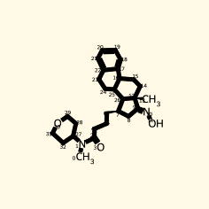 CN(C(=O)CCC[C@@H]1C/C(=N\O)[C@@]2(C)CCC3c4ccccc4CCC3C12)C1CCOCC1